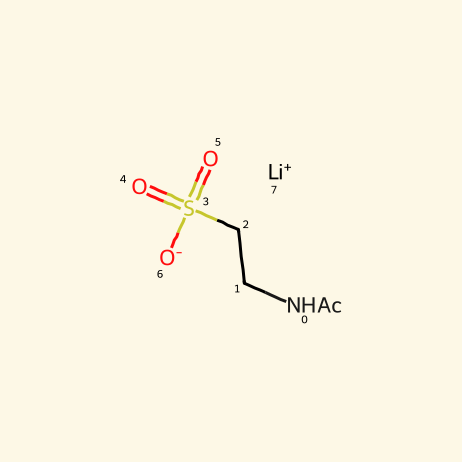 CC(=O)NCCS(=O)(=O)[O-].[Li+]